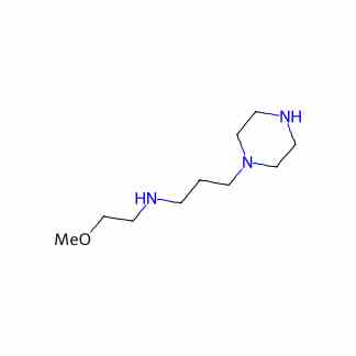 COCCNCCCN1CCNCC1